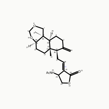 C=C1CC[C@@H]2[C@]3(C)COCO[C@@H]3CC[C@@]2(C)[C@@H]1C/C=C1/C(=O)OCC1NC(C)=O